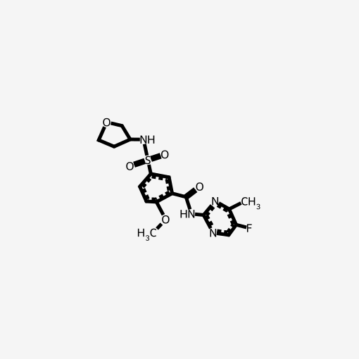 COc1ccc(S(=O)(=O)NC2CCOC2)cc1C(=O)Nc1ncc(F)c(C)n1